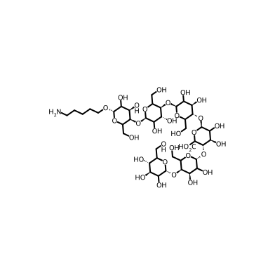 NCCCCCO[C@H]1OC(CO)[C@H](O[C@H]2OC(CO)[C@@H](O[C@@H]3OC(CO)[C@@H](O[C@@H]4OC(C(=O)O)[C@@H](O[C@H]5OC(CO)[C@H](O[C@H]6OC(CO)[C@@H](O)[C@H](O)C6O)[C@H](O)C5O)[C@H](O)C4O)[C@H](O)C3O)[C@H](O)C2O)[C@H](O)C1O